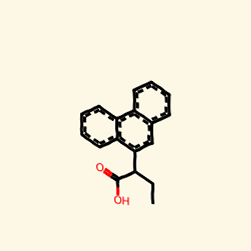 CCC(C(=O)O)c1cc2ccccc2c2ccccc12